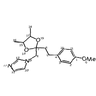 COc1ccc(CCC2(Cn3ccnc3)OC(C)C(C)O2)cc1